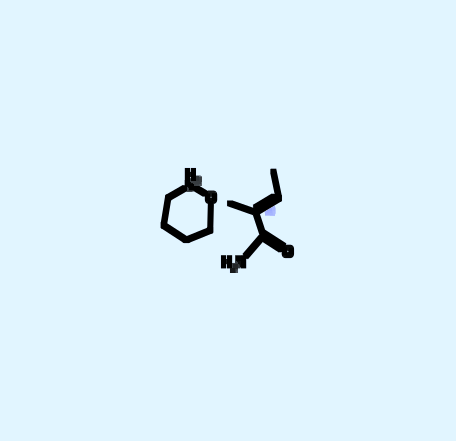 C/C=C(\C)C(N)=O.C1CC[SiH2]OC1